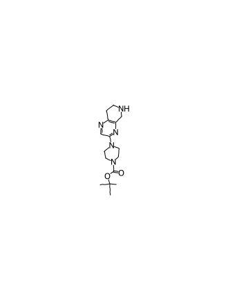 CC(C)(C)OC(=O)N1CCN(c2cnc3c(n2)CNCC3)CC1